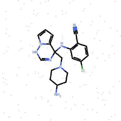 N#Cc1ccc(Cl)cc1NC1(CN2CCC(N)CC2)N=CNn2cccc21